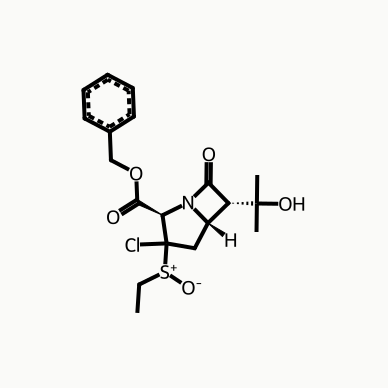 CC[S+]([O-])C1(Cl)C[C@H]2[C@@H](C(C)(C)O)C(=O)N2[C@@H]1C(=O)OCc1ccccc1